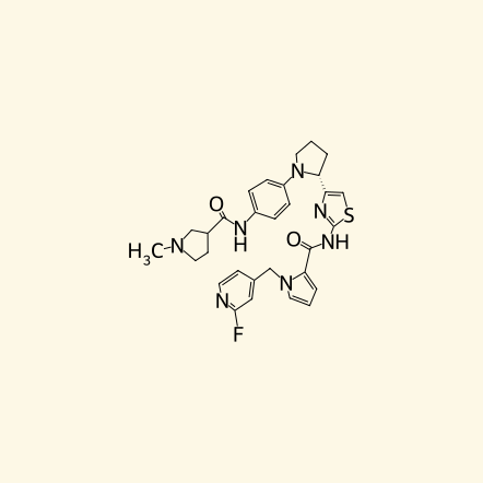 CN1CCC(C(=O)Nc2ccc(N3CCC[C@@H]3c3csc(NC(=O)c4cccn4Cc4ccnc(F)c4)n3)cc2)C1